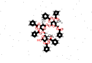 C[C@@H]1[C@@H](OO[C@@H]2O[C@H](COC(=O)c3ccccc3)[C@@H](C)[C@H](OC(=O)c3ccccc3)[C@H]2OC(=O)c2ccccc2)O[C@@H](OC[C@H]2O[C@@H](O)[C@H](OC(=O)c3ccccc3)[C@@H](OC(=O)c3ccccc3)[C@@H]2C)[C@H](OC(=O)c2ccccc2)[C@H]1OC(=O)c1ccccc1